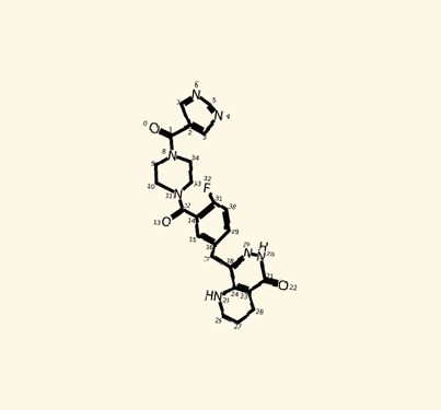 O=C(c1cncnc1)N1CCN(C(=O)c2cc(Cc3n[nH]c(=O)c4c3NCCC4)ccc2F)CC1